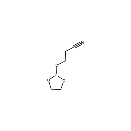 N#CCCOP1OCCO1